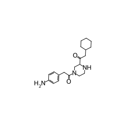 Nc1ccc(CC(=O)N2CCNC(C(=O)CC3CCCCC3)C2)cc1